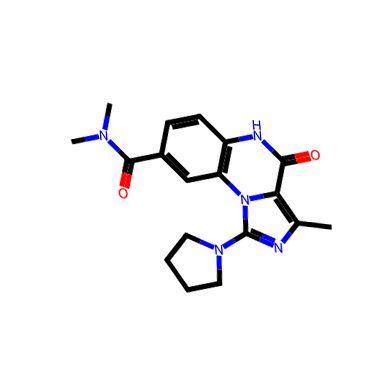 Cc1nc(N2CCCC2)n2c1c(=O)[nH]c1ccc(C(=O)N(C)C)cc12